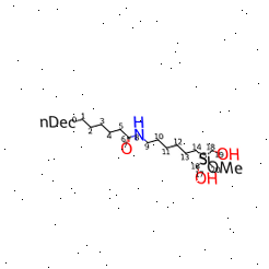 CCCCCCCCCCCCCCCC(=O)NCCCCCC[Si](CO)(CO)OC